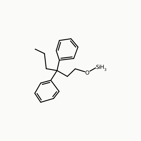 CCCC(CCO[SiH3])(c1ccccc1)c1ccccc1